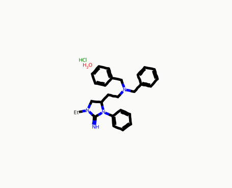 CCN1CC(CCN(Cc2ccccc2)Cc2ccccc2)N(c2ccccc2)C1=N.Cl.O